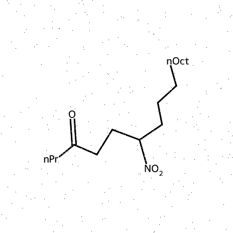 CCCCCCCCCCCC(CCC(=O)CCC)[N+](=O)[O-]